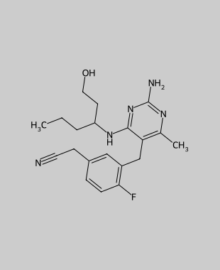 CCCC(CCO)Nc1nc(N)nc(C)c1Cc1cc(CC#N)ccc1F